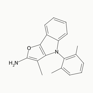 Cc1cccc(C)c1-n1c2ccccc2c2oc(N)c(C)c21